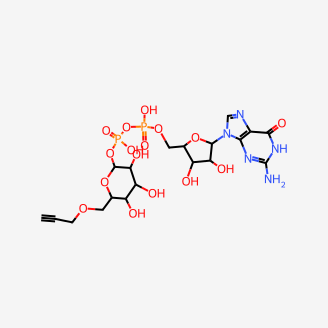 C#CCOCC1OC(OP(=O)(O)OP(=O)(O)OCC2OC(n3cnc4c(=O)[nH]c(N)nc43)C(O)C2O)C(O)C(O)C1O